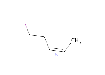 C/C=C\CCI